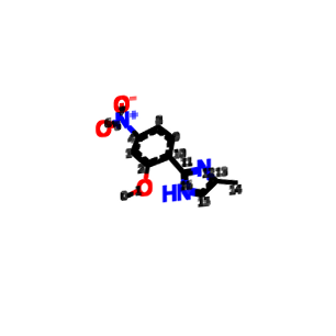 COc1cc([N+](=O)[O-])ccc1-c1nc(C)c[nH]1